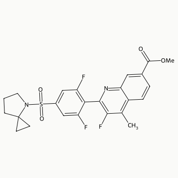 COC(=O)c1ccc2c(C)c(F)c(-c3c(F)cc(S(=O)(=O)N4CCCC45CC5)cc3F)nc2c1